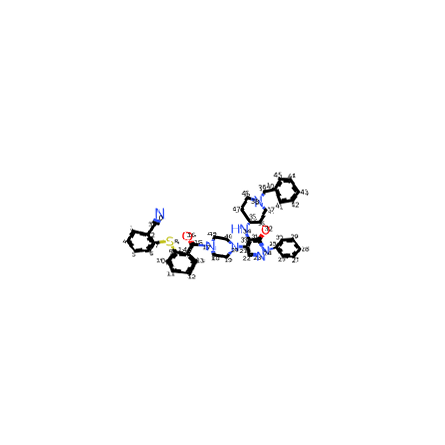 N#Cc1ccccc1Sc1ccccc1C(=O)N1CCN(c2cnn(-c3ccccc3)c(=O)c2NC2CCN(Cc3ccccc3)CC2)CC1